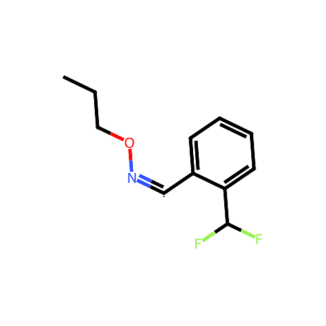 CCCO/N=[C]\c1ccccc1C(F)F